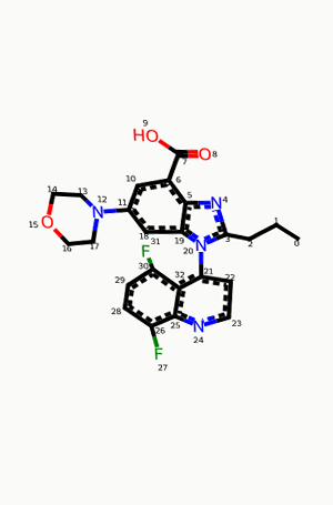 CCCc1nc2c(C(=O)O)cc(N3CCOCC3)cc2n1-c1ccnc2c(F)ccc(F)c12